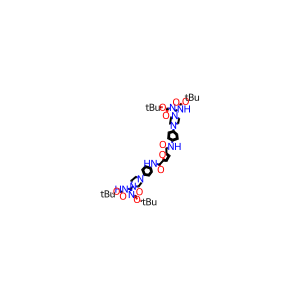 CC(C)(C)OC(=O)/N=C(/NC(=O)OC(C)(C)C)N1CCN(c2ccc(NC(=O)c3ccc(C(=O)Nc4ccc(N5CCN(/C(=N\C(=O)OC(C)(C)C)NC(=O)OC(C)(C)C)CC5)cc4)o3)cc2)CC1